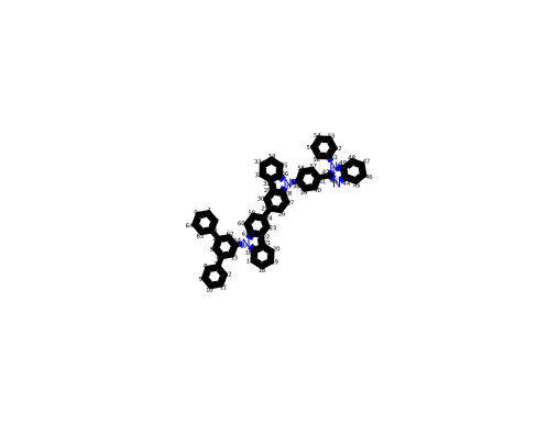 c1ccc(-c2cc(-c3ccccc3)cc(-n3c4ccccc4c4cc(-c5ccc6c(c5)c5ccccc5n6-c5ccc(-c6nc7ccccc7n6-c6ccccc6)cc5)ccc43)c2)cc1